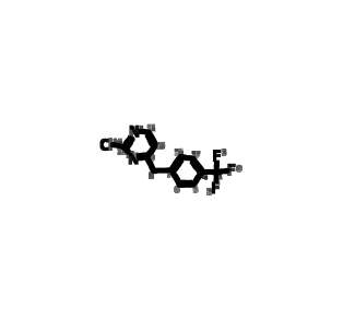 FC(F)(F)c1ccc(Cc2ccnc(Cl)n2)cc1